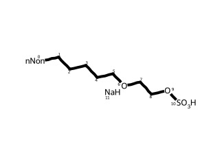 CCCCCCCCCCCCCCOCCOS(=O)(=O)O.[NaH]